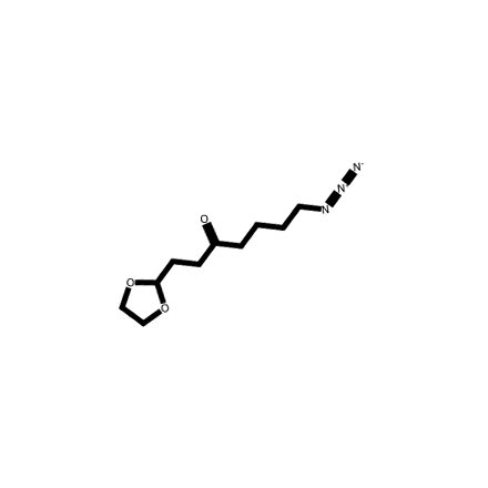 [N-]=[N+]=NCCCCC(=O)CCC1OCCO1